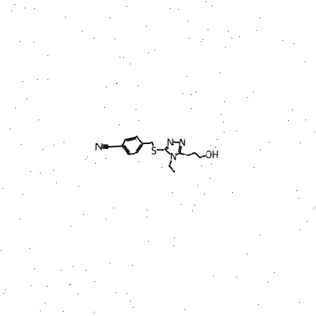 CCn1c(CCCO)nnc1SCc1ccc(C#N)cc1